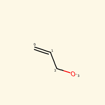 C=CC[O]